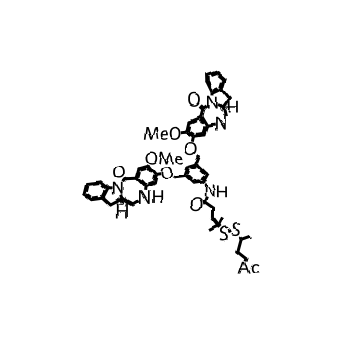 COc1cc2c(cc1OCc1cc(COc3cc4c(cc3OC)C(=O)N3c5ccccc5C[C@H]3CN4)cc(NC(=O)CCC(C)(C)SSC(C)CCC(C)=O)c1)N=C[C@@H]1Cc3ccccc3N1C2=O